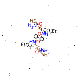 CCOC(=O)C(CSSC(=O)[C@@H](N)CS)NC(=O)c1ccccc1-c1ccccc1C(=O)NC(CSSC(=O)[C@@H](N)CS)C(=O)OCC